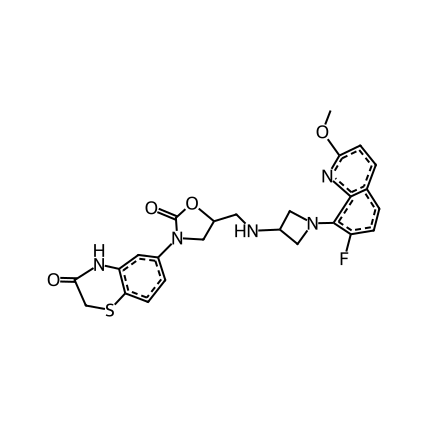 COc1ccc2ccc(F)c(N3CC(NCC4CN(c5ccc6c(c5)NC(=O)CS6)C(=O)O4)C3)c2n1